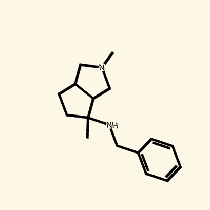 CN1CC2CCC(C)(NCc3ccccc3)C2C1